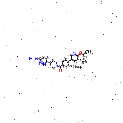 COc1cc(C(=O)N2CCC(c3ccc(N)nn3)CC2)ccc1-c1ccc(O[C@@H](C)C2CC2)nc1